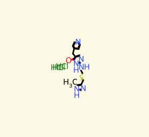 Cc1[nH]cnc1CSCCNc1ncc(Cc2ccncc2)c(=O)[nH]1.Cl.Cl.Cl